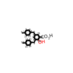 Cc1ccc(Cc2cc(Cc3ccc(C)cc3)c(O)c(C(=O)O)c2)cc1